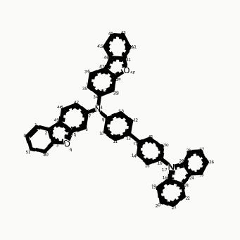 C1=Cc2c(oc3cc(N(c4ccc(-c5ccc(-n6c7ccccc7c7ccccc76)cc5)cc4)c4ccc5c(c4)oc4ccccc45)ccc23)CC1